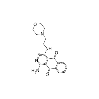 Nc1nnc(NCCN2CCOCC2)c2c1C(=O)c1ccccc1C2=O